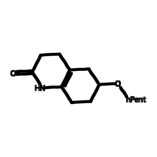 CCCCCOC1CCC2=C(CCC(=O)N2)C1